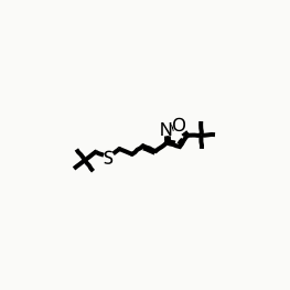 CC(C)(C)CSCC/C=C/c1cc(C(C)(C)C)on1